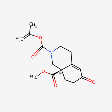 C=C(C)OC(=O)N1CCC2=CC(=O)CC[C@]2(C(=O)OC)C1